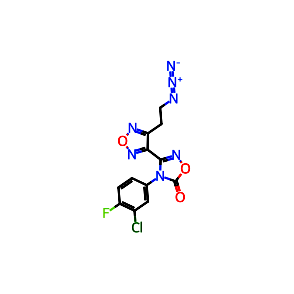 [N-]=[N+]=NCCc1nonc1-c1noc(=O)n1-c1ccc(F)c(Cl)c1